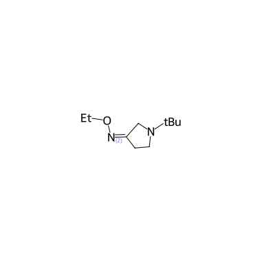 CCO/N=C1/CCN(C(C)(C)C)C1